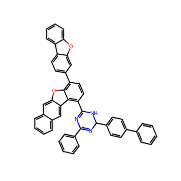 c1ccc(C2=NC(c3ccc(-c4ccccc4)cc3)NC(c3ccc(-c4ccc5c(c4)oc4ccccc45)c4oc5cc6ccccc6cc5c34)=N2)cc1